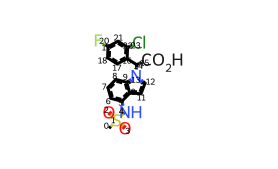 CS(=O)(=O)Nc1cccc2c1ccn2C(C(=O)O)c1ccc(F)cc1Cl